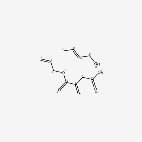 C=CCOC(=O)C(=C)CC(=O)O.CC=CCO